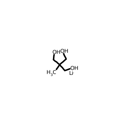 CC(CO)(CO)CO.[Li]